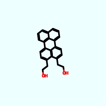 OCCc1ccc2c3cccc4cccc(c5ccc(CCO)c1c25)c43